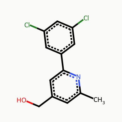 Cc1cc(CO)cc(-c2cc(Cl)cc(Cl)c2)n1